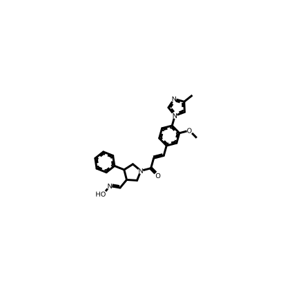 COc1cc(/C=C/C(=O)N2CC(/C=N/O)C(c3ccccc3)C2)ccc1-n1cnc(C)c1